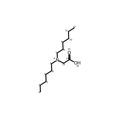 CCCCCCN(CCCCCC)CC(=O)O